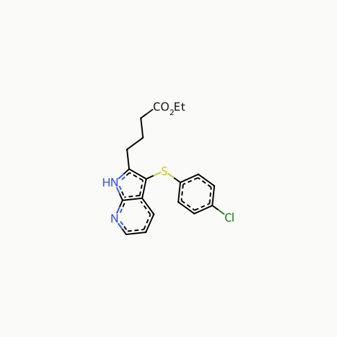 CCOC(=O)CCCc1[nH]c2ncccc2c1Sc1ccc(Cl)cc1